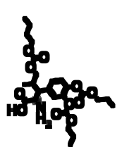 CCCCOC(=O)OCC(C)C(c1ccc(OC(=O)OCCC)c(OC(=O)OCCC)c1)[C@H](N)C(=O)O